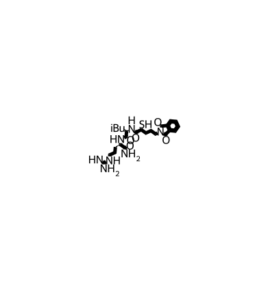 CC[C@H](C)[C@H](NC(=O)C(S)CCCN1C(=O)c2ccccc2C1=O)C(=O)N[C@@H](CCCNC(=N)N)C(N)=O